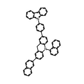 c1ccc2cc(-c3ccc4c(c3)Cc3cc(-c5ccc(-n6c7ccccc7c7ccccc76)cc5)ccc3N4c3cccc4ccccc34)ccc2c1